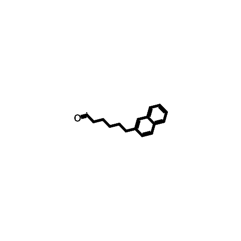 O=[C]CCCCCc1ccc2ccccc2c1